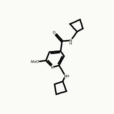 COc1cc(C(=O)NC2CCC2)cc(NC2CCC2)n1